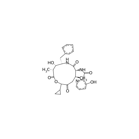 C[C@H]1CC(=O)C(C2CC2)OC(=O)[C@H](C)[C@H](O)[C@H](Cc2ccccc2)NC(=O)[C@H]1NC(=O)c1ncccc1O